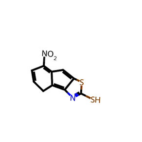 O=[N+]([O-])C1=C2C=c3sc(S)nc3=C2CC=C1